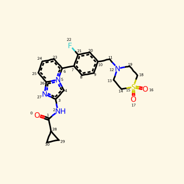 O=C(Nc1cn2c(-c3ccc(CN4CCS(=O)(=O)CC4)cc3F)cccc2n1)C1CC1